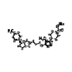 Cn1c(SCCCN2CC3CCN(c4ccc(C(F)(F)F)cc4)C3C2)nnc1C1CCN(C(=O)OC(C)(C)C)CC1